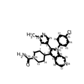 Cn1cc(-c2c(C3CCN(C(N)=O)CC3)c3ccncc3n2-c2ccc(Cl)cc2)cn1